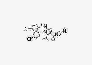 CC(C)C1=C(C(=O)N2CC(N(C)C)C2)SC2=N[C@@](C)(c3ccc(Cl)cc3)[C@@H](c3ccc(Cl)cc3)N21